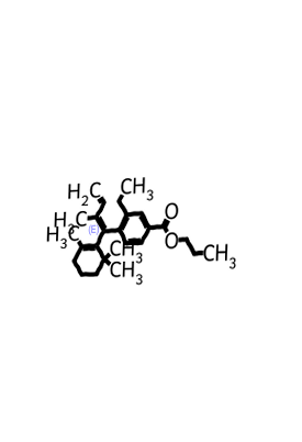 C=C/C(C)=C(/C1=C(C)CCCC1(C)C)c1ccc(C(=O)OCCC)cc1CC